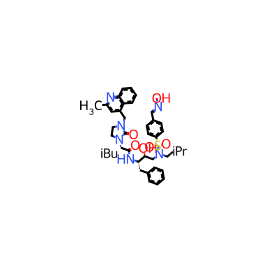 CC[C@H](C)[C@@H](C(=O)N[C@@H](Cc1ccccc1)[C@@H](O)CN(CC(C)C)S(=O)(=O)c1ccc(C=NO)cc1)N1CCN(Cc2cc(C)nc3ccccc23)C1=O